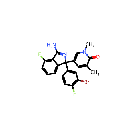 Cc1cc(C2(c3ccc(F)c(Br)c3)N=C(N)c3c(F)cccc32)cn(C)c1=O